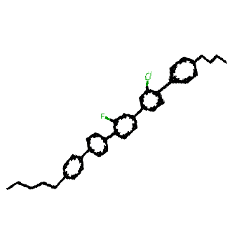 CCCCCc1ccc(-c2ccc(-c3ccc(-c4ccc(-c5ccc(CCCC)cc5)c(Cl)c4)cc3F)cc2)cc1